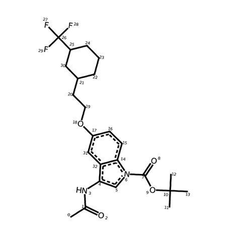 CC(=O)Nc1cn(C(=O)OC(C)(C)C)c2ccc(OCCC3CCCC(C(F)(F)F)C3)cc12